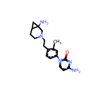 Cc1cc(-n2ccc(N)nc2=O)ccc1CCN1CCC2CC2(N)C1